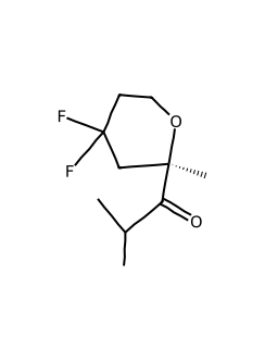 CC(C)C(=O)[C@@]1(C)CC(F)(F)CCO1